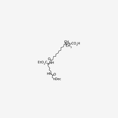 CCCCCCCCCCCC(=O)NCCCC[C@H](NC(=O)CCCCCCCCCC[N+](C)(C)CCC(=O)O)C(=O)OCC